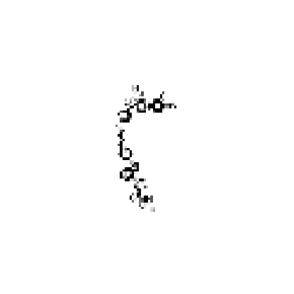 CNC(=O)CCN(C=O)c1cncc2c1ccn2C1CCN(CCCCOc2ccc(C(=O)N3CCN(c4ccc(C#N)c(Cl)c4)CC3C)cn2)CC1